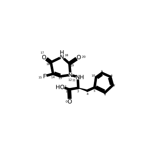 O=C(O)[C@H](Cc1ccccc1)Nn1cc(F)c(=O)[nH]c1=O